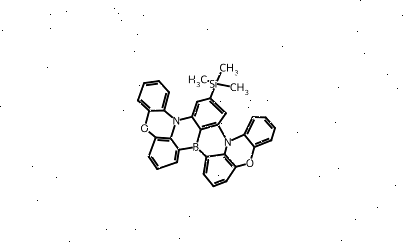 C[Si](C)(C)c1cc2c3c(c1)N1c4ccccc4Oc4cccc(c41)B3c1cccc3c1N2c1ccccc1O3